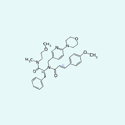 COCCN(C)C(=O)[C@H](Cc1ccccc1)N(Cc1ccc(N2CCOCC2)nc1)C(=O)/C=C/c1ccc(OC)cc1